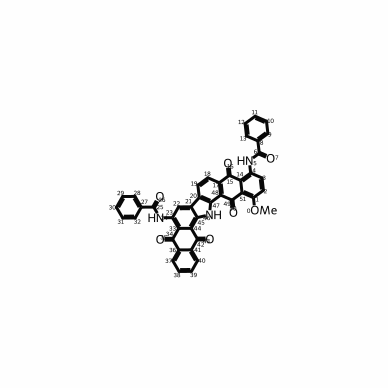 COc1ccc(NC(=O)c2ccccc2)c2c(=O)c3ccc4c5cc(NC(=O)c6ccccc6)c6c(=O)c7ccccc7c(=O)c6c5[nH]c4c3c(=O)c12